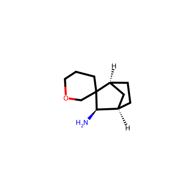 N[C@@H]1[C@@H]2CC[C@@H](C2)C12CCCOC2